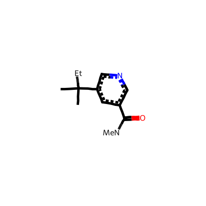 CCC(C)(C)c1cncc(C(=O)NC)c1